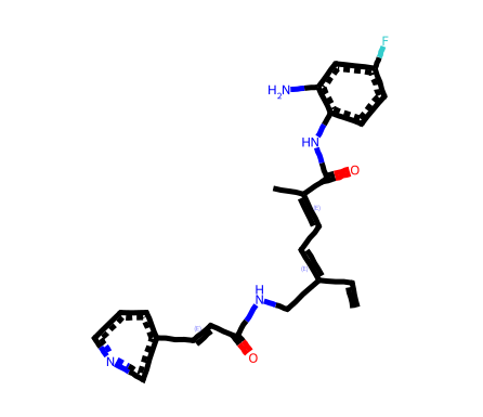 C=C/C(=C\C=C(/C)C(=O)Nc1ccc(F)cc1N)CNC(=O)/C=C/c1cccnc1